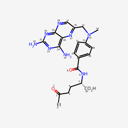 CCC(=O)CC[C@H](NC(=O)c1ccc(N(C)Cc2cnc3nc(N)nc(N)c3n2)cc1)C(=O)O